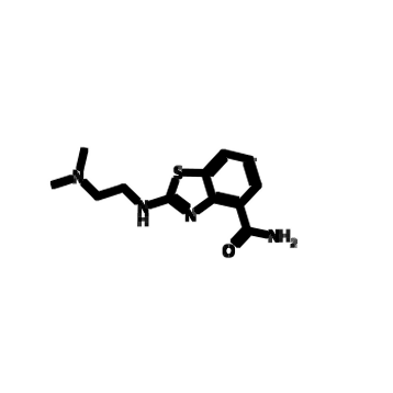 CN(C)CCNc1nc2c(C(N)=O)c[c]cc2s1